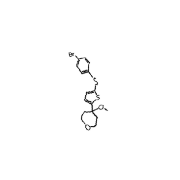 COC1(c2ccc(Sc3ccc(Br)cc3)s2)CCOCC1